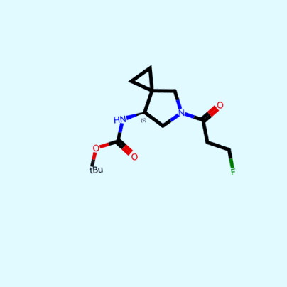 CC(C)(C)OC(=O)N[C@@H]1CN(C(=O)CCF)CC12CC2